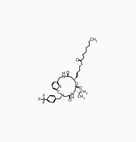 CCCCCCCC(=O)SCC/C=C/[C@@H]1CC(=O)NCc2cccc(n2)CN(Cc2ccc(C(F)(F)F)cc2)CC(=O)N[C@@H](C(C)C)C(=O)O1